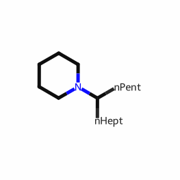 CCCCCCCC(CCCCC)N1CCCCC1